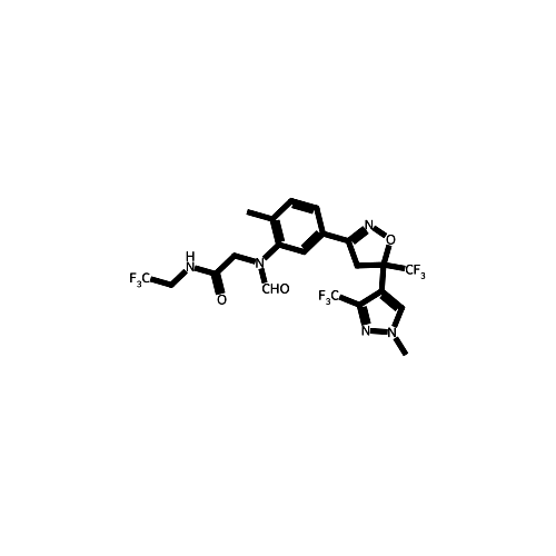 Cc1ccc(C2=NOC(c3cn(C)nc3C(F)(F)F)(C(F)(F)F)C2)cc1N(C=O)CC(=O)NCC(F)(F)F